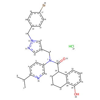 CC(C)c1ccc(N(Cc2cnn(Cc3ccc(Br)cc3)c2)C(=O)C2CCCc3c(O)cccc32)cn1.Cl